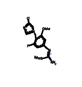 COc1cc(/N=C(/N)SC)cc(F)c1-n1cnc(Cl)c1